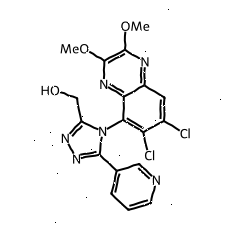 COc1nc2cc(Cl)c(Cl)c(-n3c(CO)nnc3-c3cccnc3)c2nc1OC